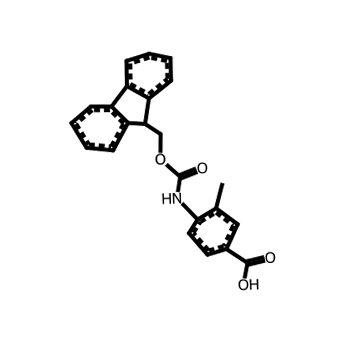 Cc1cc(C(=O)O)ccc1NC(=O)OCC1c2ccccc2-c2ccccc21